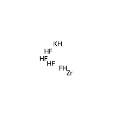 F.F.F.F.[KH].[Zr]